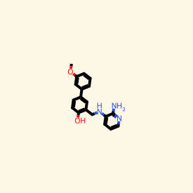 COc1cccc(-c2ccc(O)c(CNc3cccnc3N)c2)c1